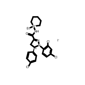 CC[N+]1(NC(=O)C2=NN(c3ccc(Cl)cc3Cl)[C@@H](c3ccc(Cl)cc3)C2)CCCCC1.[I-]